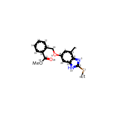 CCSc1nc2c(C)cc(OCc3ccccc3C(=O)OC)cc2[nH]1